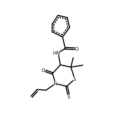 C=CCN1C(=O)C(NC(=O)c2ccccc2)C(C)(C)SC1=S